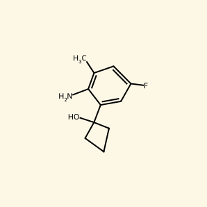 Cc1cc(F)cc(C2(O)CCC2)c1N